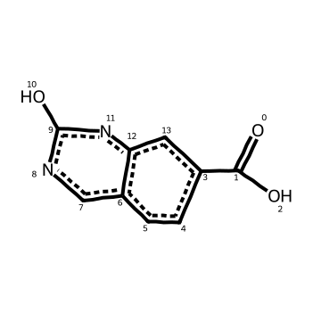 O=C(O)c1ccc2cnc(O)nc2c1